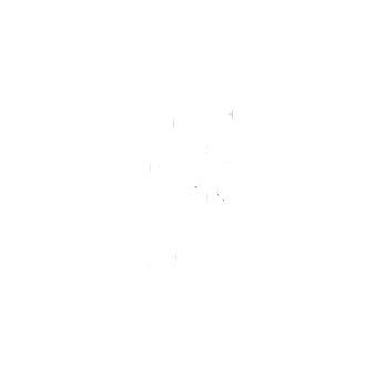 Br.COc1ccc(C[C@@H]2NCCc3cc(O)c(O)cc32)cc1